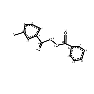 Cc1cccc(C(=O)OOC(=O)c2ccccc2)c1